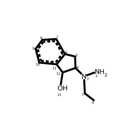 CCN(N)C1Cc2ccccc2C1O